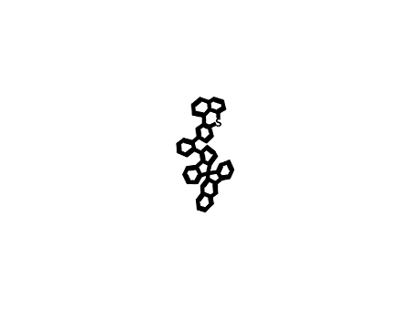 C1=CC2C=CC=C3c4cc(-c5ccccc5-c5cccc6c5-c5ccccc5C65c6ccccc6-c6cc7ccccc7cc65)ccc4SC(=C1)C32